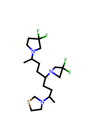 CC(CCC(CCC(C)N1CCC(F)(F)C1)N1CC(F)(F)C1)N1CCSC1